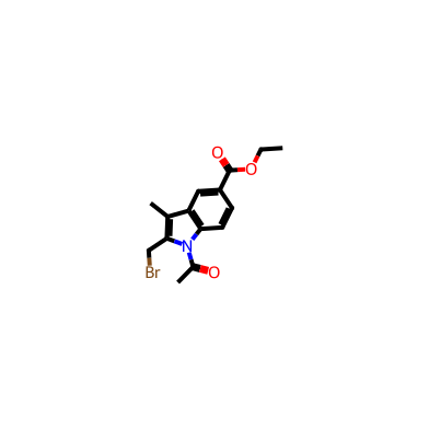 CCOC(=O)c1ccc2c(c1)c(C)c(CBr)n2C(C)=O